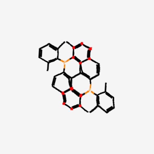 Cc1cccc(C)c1P(c1ccc2ccccc2c1-c1c(P(c2c(C)cccc2C)c2c(C)cccc2C)ccc2ccccc12)c1c(C)cccc1C